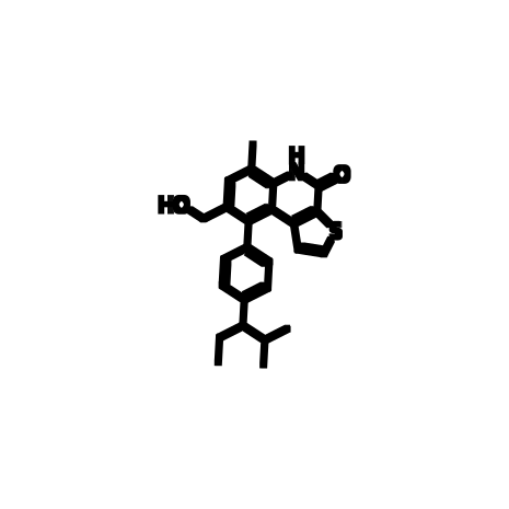 CCC(c1ccc(-c2c(CO)cc(C)c3[nH]c(=O)c4sccc4c23)cc1)C(C)C